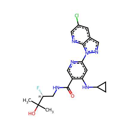 CC(C)(O)[C@H](F)CNC(=O)c1cnc(-n2ncc3cc(Cl)cnc32)cc1NC1CC1